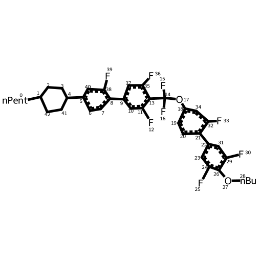 CCCCCC1CCC(c2ccc(-c3cc(F)c(C(F)(F)Oc4ccc(-c5cc(F)c(OCCCC)c(F)c5)c(F)c4)c(F)c3)c(F)c2)CC1